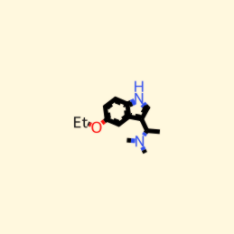 CCOc1ccc2[nH]cc(C(C)N(C)C)c2c1